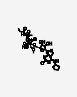 CCC(=O)NS(C)(=O)=NC(=O)[C@@](COC)(OC[C@H]1O[C@@H](n2ncc3c(NC4CCCC4)nc(Cl)nc32)[C@H](O)[C@@H]1O)P(=O)(O)O